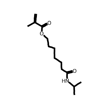 C=C(C)C(=O)OCCCCCCC(=O)NC(C)C